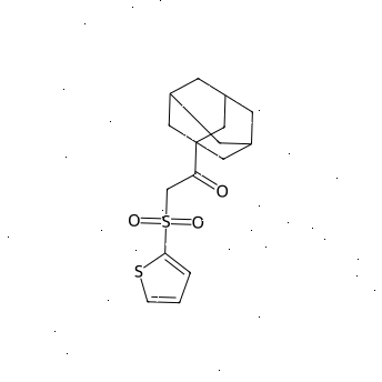 O=C(CS(=O)(=O)c1cccs1)C12CC3CC(CC(C3)C1)C2